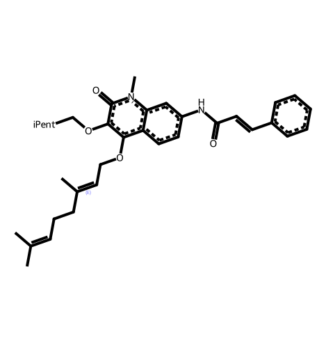 CCCC(C)COc1c(OC/C=C(\C)CCC=C(C)C)c2ccc(NC(=O)C=Cc3ccccc3)cc2n(C)c1=O